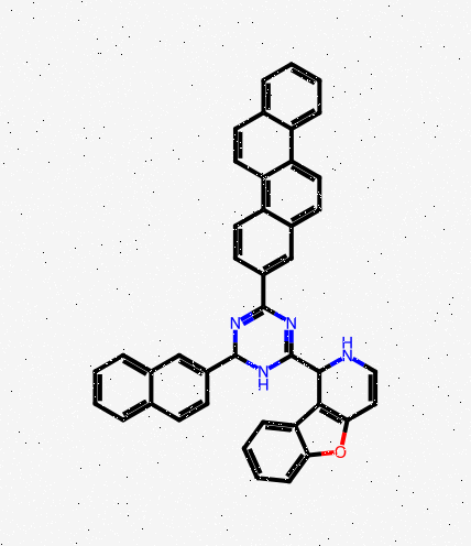 C1=Cc2oc3ccccc3c2C(C2=NC(c3ccc4c(ccc5c6ccccc6ccc45)c3)=NC(c3ccc4ccccc4c3)N2)N1